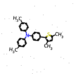 Cc1ccc(N(c2ccc(C)cc2)c2ccc(-c3sc(C)cc3C)cc2)cc1